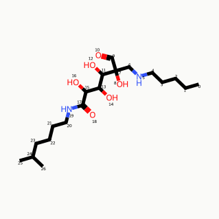 CCCCCNCC(O)(C=O)C(O)C(O)C(O)C(=O)NCCCCC(C)C